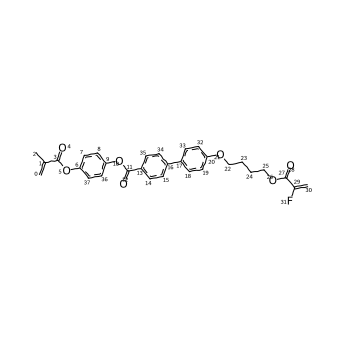 C=C(C)C(=O)Oc1ccc(OC(=O)c2ccc(-c3ccc(OCCCCOC(=O)C(=C)F)cc3)cc2)cc1